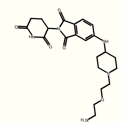 NCCOCCN1CCC(Nc2ccc3c(c2)C(=O)N(C2CCC(=O)NC2=O)C3=O)CC1